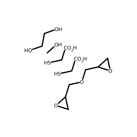 C(OCC1CO1)C1CO1.CO.O=C(O)CS.O=C(O)CS.OCCO